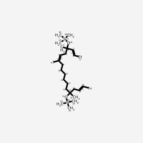 CC/C=C/C(C)(C/C=C(/I)CCCCCCC(C)(C/C=C/I)O[Si](C)(C)C)O[Si](C)(C)C